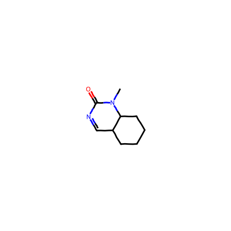 CN1C(=O)N=CC2CCCCC21